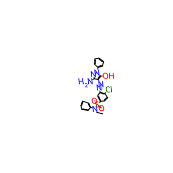 CCN(c1ccccc1)S(=O)(=O)c1ccc(Cl)c(/N=N/c2c(N)nn(-c3ccccc3)c2O)c1